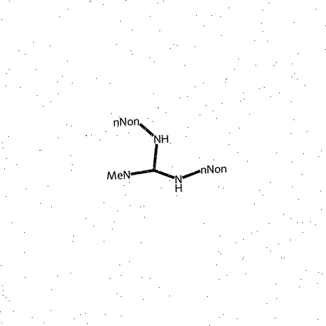 CCCCCCCCCNC(NC)NCCCCCCCCC